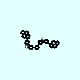 c1cc(-c2ccc3oc4ccc(-c5ccc6ccc7cccc8ccc5c6c78)cc4c3c2)cc(-c2ccc3oc4ccc(-c5ccc6ccc7cccc8ccc5c6c78)cc4c3c2)c1